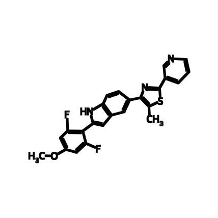 COc1cc(F)c(-c2cc3cc(-c4nc(-c5cccnc5)sc4C)ccc3[nH]2)c(F)c1